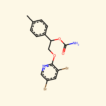 Cc1ccc(C(COc2ncc(Br)cc2Br)OC(N)=O)cc1